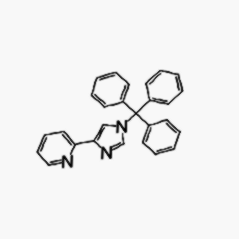 c1ccc(C(c2ccccc2)(c2ccccc2)n2cnc(-c3ccccn3)c2)cc1